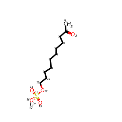 CC(=O)CCCCCCCCCOS(=O)(=O)[O-].[Li+]